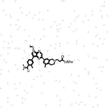 CNC(=O)CCN1CCc2c(C)cc(-c3cnc4c(n3)c(-c3ccc(C(=O)N(C)C)c(C)c3)cn4SI)cc2C1